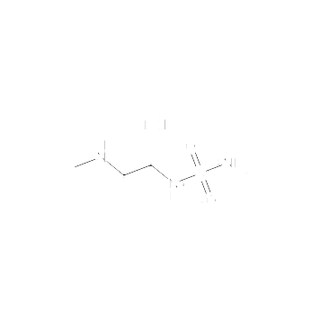 CNCCNS(N)(=O)=O.Cl